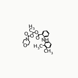 Cc1cccc(Nc2ccccc2C(=O)OC(C)OC(=O)N2CCOCC2)c1C